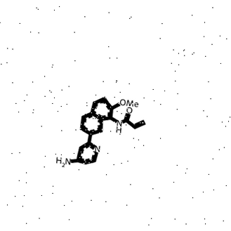 C=CC(=O)Nc1c(OC)ccc2ccc(-c3cc(N)ccn3)cc12